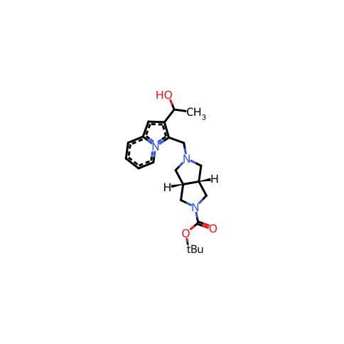 CC(O)c1cc2ccccn2c1CN1C[C@@H]2CN(C(=O)OC(C)(C)C)C[C@@H]2C1